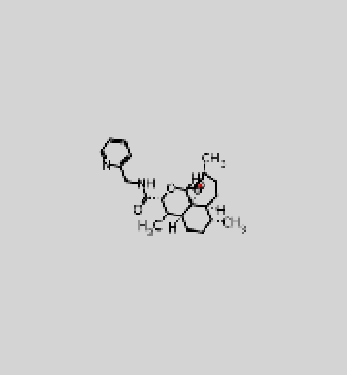 C[C@H]1[C@H](C(=O)NCc2ccccn2)O[C@@H]2O[C@@]3(C)CC[C@H]4[C@H](C)CC[C@@H]1[C@@]24OO3